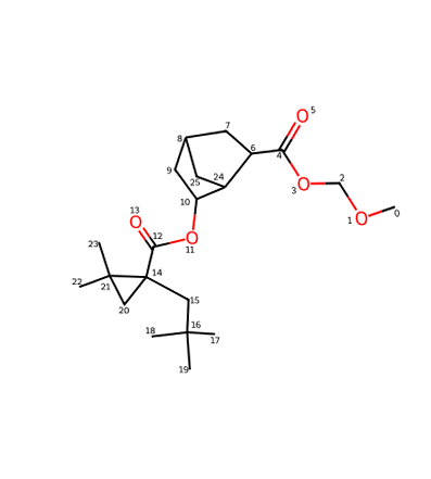 COCOC(=O)C1CC2CC(OC(=O)C3(CC(C)(C)C)CC3(C)C)C1C2